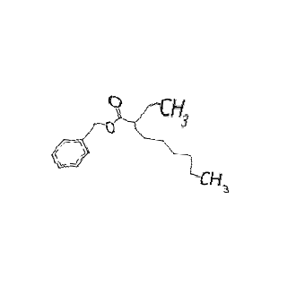 CCCCCCC(CC)C(=O)OCc1ccccc1